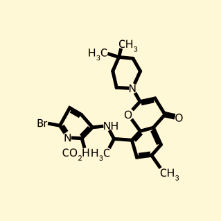 Cc1cc(C(C)Nc2ccc(Br)nc2C(=O)O)c2oc(N3CCC(C)(C)CC3)cc(=O)c2c1